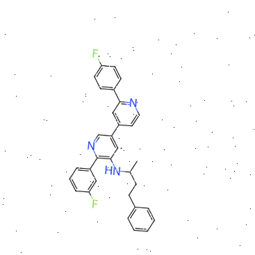 CC(CCc1ccccc1)Nc1[c]c(-c2ccnc(-c3ccc(F)cc3)c2)cnc1-c1cccc(F)c1